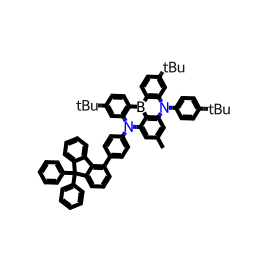 Cc1cc2c3c(c1)N(c1ccc(C(C)(C)C)cc1)c1cc(C(C)(C)C)ccc1B3c1ccc(C(C)(C)C)cc1N2c1ccc(-c2cccc3c2-c2ccccc2C3(c2ccccc2)c2ccccc2)cc1